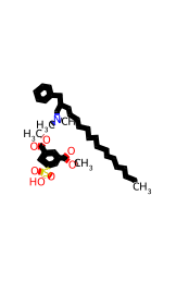 CCCCCCCCCCCCCCCCC(Cc1ccccc1)CN(C)C.COC(=O)c1cc(C(=O)OC)cc(S(=O)(=O)O)c1